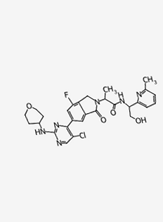 Cc1cccc(C(CO)NC(=O)C(C)N2Cc3c(F)cc(-c4nc(NC5CCOCC5)ncc4Cl)cc3C2=O)n1